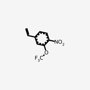 C=Cc1ccc([N+](=O)[O-])c(OC(F)(F)F)c1